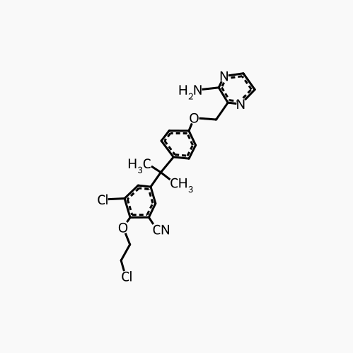 CC(C)(c1ccc(OCc2nccnc2N)cc1)c1cc(Cl)c(OCCCl)c(C#N)c1